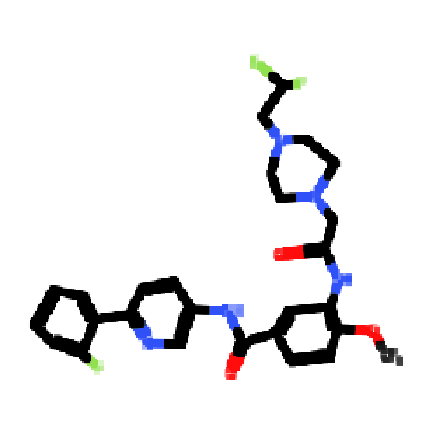 O=C(CN1CCN(CC(F)F)CC1)Nc1cc(C(=O)Nc2ccc(-c3ccccc3F)nc2)ccc1OC(F)(F)F